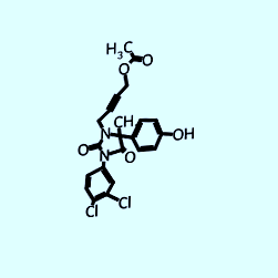 CC(=O)OCC#CCN1C(=O)N(c2ccc(Cl)c(Cl)c2)C(=O)C1(C)c1ccc(O)cc1